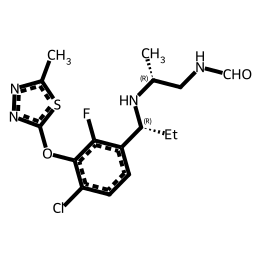 CC[C@@H](N[C@H](C)CNC=O)c1ccc(Cl)c(Oc2nnc(C)s2)c1F